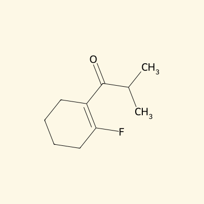 CC(C)C(=O)C1=C(F)CCCC1